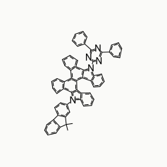 CC1(C)c2ccccc2-c2ccc(-n3c4ccccc4c4c5c(c6ccccc6c43)c3ccccc3c3c5c4ccccc4n3-c3nc(-c4ccccc4)nc(-c4ccccc4)n3)cc21